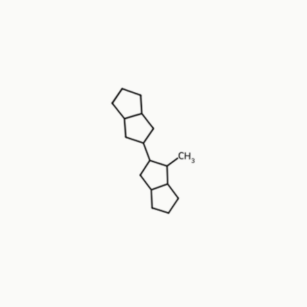 CC1C2CCCC2CC1C1CC2CCCC2C1